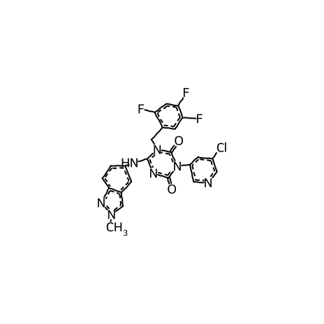 Cn1cc2cc(Nc3nc(=O)n(-c4cncc(Cl)c4)c(=O)n3Cc3cc(F)c(F)cc3F)ccc2n1